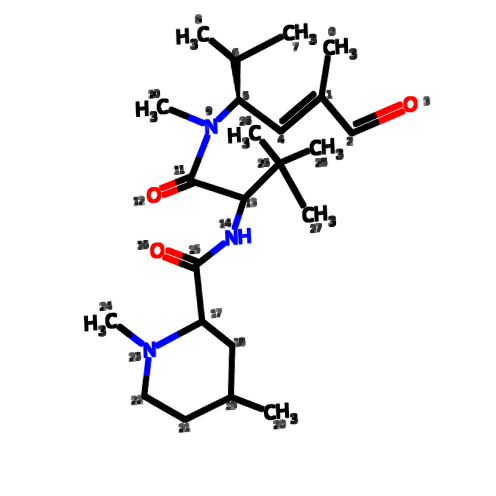 C/C(C=O)=C\[C@H](C(C)C)N(C)C(=O)C(NC(=O)C1CC(C)CCN1C)C(C)(C)C